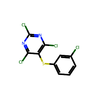 Clc1cccc(Sc2c(Cl)nc(Cl)nc2Cl)c1